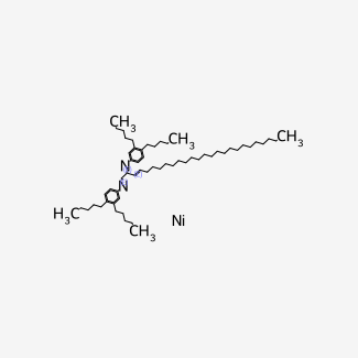 CCCCCCCCCCCCCCCCCCCCCC/C=C/C(/C=N/c1ccc(CCCCC)c(CCCCC)c1)=N\c1ccc(CCCCC)c(CCCCC)c1.[Ni]